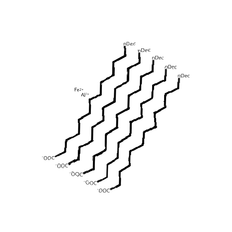 CCCCCCCCCCCCCCCCCCCCCC(=O)[O-].CCCCCCCCCCCCCCCCCCCCCC(=O)[O-].CCCCCCCCCCCCCCCCCCCCCC(=O)[O-].CCCCCCCCCCCCCCCCCCCCCC(=O)[O-].CCCCCCCCCCCCCCCCCCCCCC(=O)[O-].[Al+3].[Fe+2]